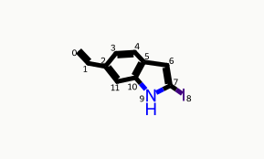 C=Cc1ccc2cc(I)[nH]c2c1